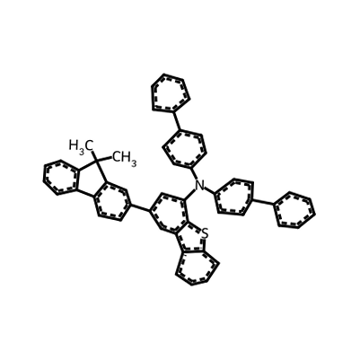 CC1(C)c2ccccc2-c2ccc(-c3cc(N(c4ccc(-c5ccccc5)cc4)c4ccc(-c5ccccc5)cc4)c4sc5ccccc5c4c3)cc21